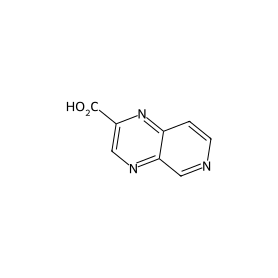 O=C(O)c1cnc2cnccc2n1